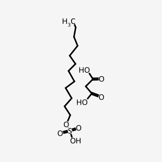 CCCCCCCCCCCCOS(=O)(=O)O.O=C(O)CC(=O)O